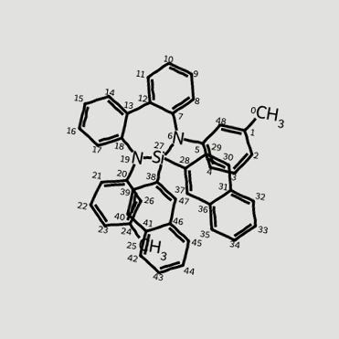 Cc1cccc(N2c3ccccc3-c3ccccc3N(c3cccc(C)c3)[Si]2(c2ccc3ccccc3c2)c2ccc3ccccc3c2)c1